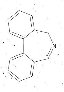 C1=NCc2ccccc2-c2ccccc21